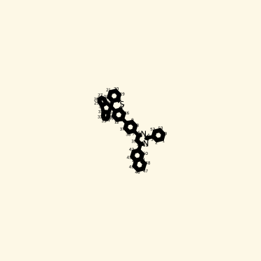 c1ccc(-c2nc(-c3ccc(-c4ccc5c(c4)Sc4ccccc4C54c5ccccc5-c5ccccc54)cc3)cc(-c3ccc4ccccc4c3)n2)cc1